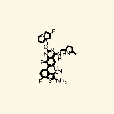 CC1CCC(CNc2nc(OC[C@@]34CCCN3C[C@H](F)C4)nc3c(F)c(-c4ccc(F)c5sc(N)c(C#N)c45)c(Cl)cc23)N1